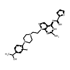 CC(O)c1ccc(N2CCN(CCn3ncc4/c(=N/C(=N)c5ccco5)[nH]c(N)nc43)CC2)c(F)c1